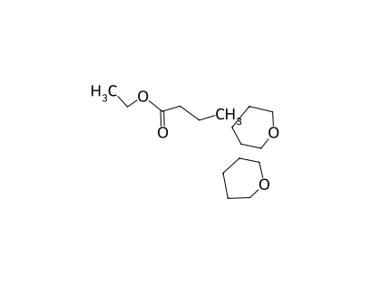 C1CCOCC1.C1CCOCC1.CCCC(=O)OCC